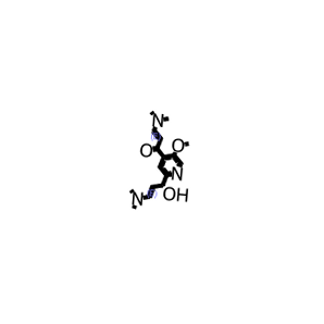 COc1cnc(C(O)/C=C/N(C)C)cc1C(=O)/C=C/N(C)C